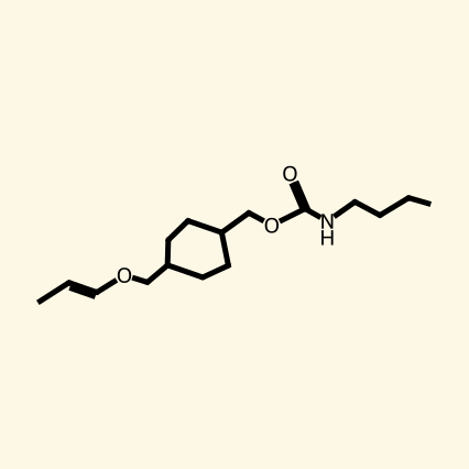 C/C=C/OCC1CCC(COC(=O)NCCCC)CC1